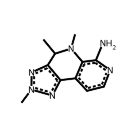 CC1c2nn(C)nc2-c2ccnc(N)c2N1C